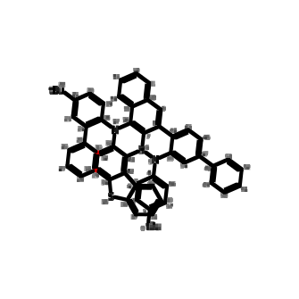 CC(C)(C)c1ccc(N2B3c4c(cc5ccccc5c4N(c4ccc(C(C)(C)C)cc4-c4ccccc4)c4ccc5sc6ccccc6c5c43)-c3ccc(-c4ccccc4)cc32)cc1